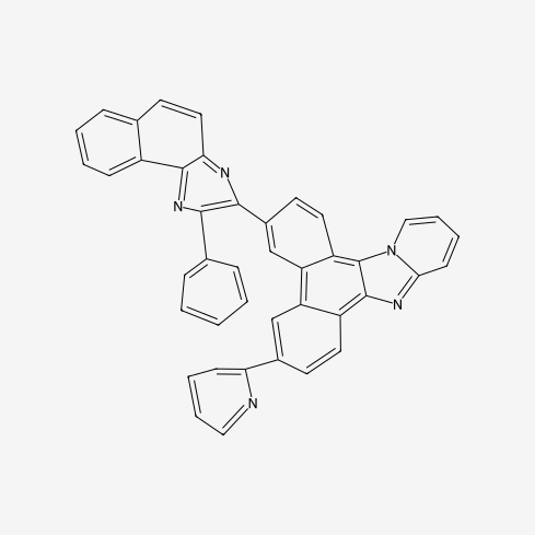 c1ccc(-c2nc3c(ccc4ccccc43)nc2-c2ccc3c(c2)c2cc(-c4ccccn4)ccc2c2nc4ccccn4c32)cc1